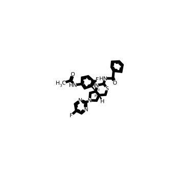 CC(=O)Nc1ccc(F)c([C@]23CN(c4ncc(F)cn4)C[C@H]2CSC(NC(=O)c2ccccc2)N3)c1